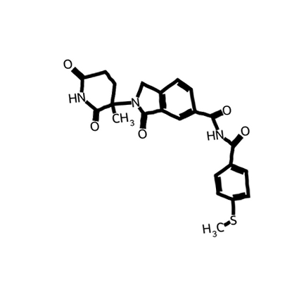 CSc1ccc(C(=O)NC(=O)c2ccc3c(c2)C(=O)N(C2(C)CCC(=O)NC2=O)C3)cc1